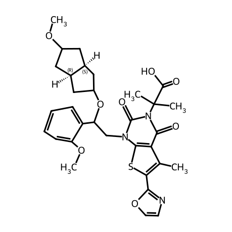 COc1ccccc1C(Cn1c(=O)n(C(C)(C)C(=O)O)c(=O)c2c(C)c(-c3ncco3)sc21)OC1C[C@H]2CC(OC)C[C@H]2C1